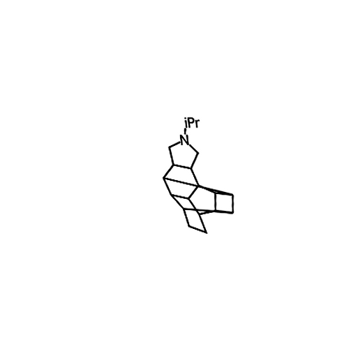 CC(C)N1CC2C(C1)C1C3C4CCC5C3C2C2C5C4C12